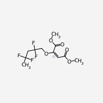 COC(=O)/C=C(/OCC(F)(F)CC(C)(F)F)C(=O)OC